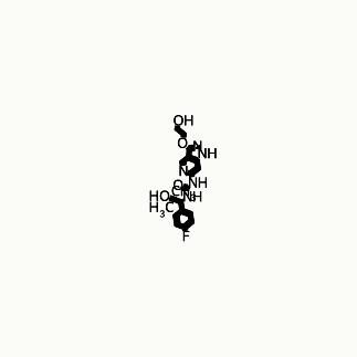 CC(C)(O)[C@@H](NC(=O)Nc1cc2[nH]nc(OCCO)c2cn1)c1ccc(F)cc1